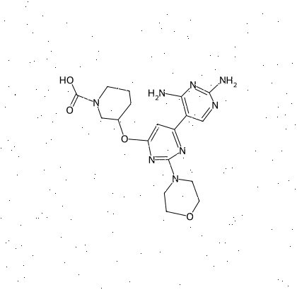 Nc1ncc(-c2cc(OC3CCCN(C(=O)O)C3)nc(N3CCOCC3)n2)c(N)n1